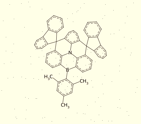 Cc1cc(C)c(B2c3cccc4c3N3c5c2cccc5C2(c5ccccc5-c5ccccc52)c2cccc(c23)C42c3ccccc3-c3ccccc32)c(C)c1